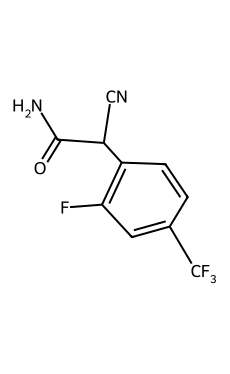 N#CC(C(N)=O)c1ccc(C(F)(F)F)cc1F